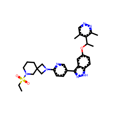 CCS(=O)(=O)N1CCCC2(CN(c3ccc(-c4n[nH]c5ccc(OC(C)c6c(C)cnnc6C)cc45)cn3)C2)C1